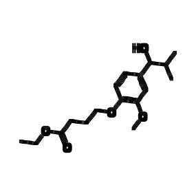 CCOC(=O)CCCOc1ccc(C(O)C(C)C)cc1OC